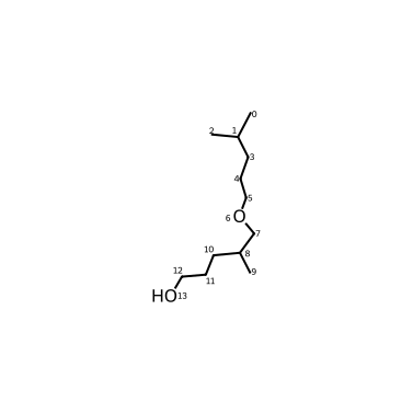 CC(C)CCCOCC(C)CCCO